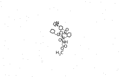 CCOC(=O)CNC(=O)N1Cc2ccccc2N(C(=O)c2ccc(-n3cccn3)cc2Cl)C[C@H]1COCc1ccccc1